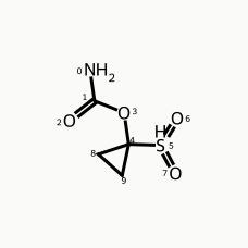 NC(=O)OC1([SH](=O)=O)CC1